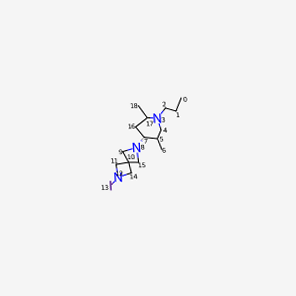 CCCN1CC(C)[C@H](N2CC3(CN(I)C3)C2)CC1C